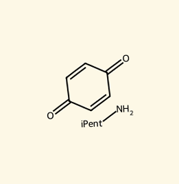 CCCC(C)N.O=C1C=CC(=O)C=C1